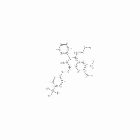 CCCNC(=O)C(C(=O)N(CCc1ccc(C(F)(F)F)cc1)c1ccc(OC)c(OC)c1)c1ccccc1